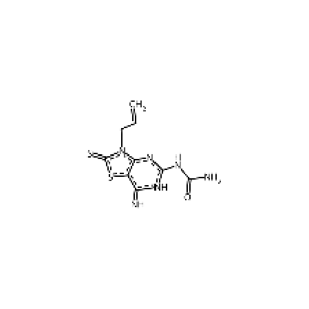 C=CCn1c(=S)sc2c(=N)[nH]c(NC(N)=O)nc21